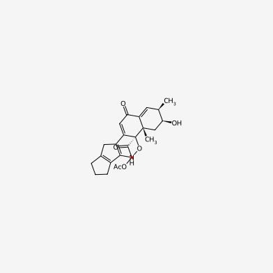 CC(=O)OCC(=O)[C@]12ONC3=C(CC4=C3CCC4)C1=CC(=O)C1=C[C@@H](C)[C@@H](O)C[C@@]12C